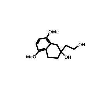 COc1ccc(OC)c2c1CCC(O)(CCO)C2